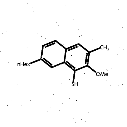 CCCCCCc1ccc2cc(C)c(OC)c(S)c2c1